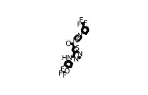 O=C(c1cc2c(Nc3ccc(OC(F)(F)F)cc3)ncnc2s1)N1CCN(c2cccc(C(F)(F)F)c2)CC1